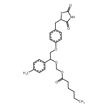 CCCCCC(=O)OCOC(COc1ccc(CC2SC(=O)NC2=O)cc1)c1ccc(C)cc1